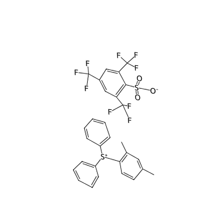 Cc1ccc([S+](c2ccccc2)c2ccccc2)c(C)c1.O=S(=O)([O-])c1c(C(F)(F)F)cc(C(F)(F)F)cc1C(F)(F)F